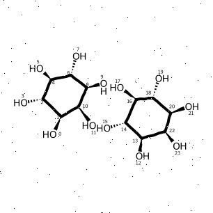 O[C@H]1[C@H](O)[C@@H](O)[C@H](O)[C@@H](O)[C@H]1O.O[C@H]1[C@H](O)[C@@H](O)[C@H](O)[C@@H](O)[C@H]1O